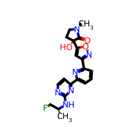 C[C@H](CF)Nc1nccc(-c2cccc(-c3cc([C@]4(O)CCN(C)C4=O)on3)n2)n1